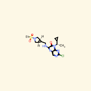 CCS(=O)(=O)N1C[C@@H]2C(CNc3nc4cnc(Cl)nc4n([C@@H](C)C4CC4)c3=O)[C@@H]2C1